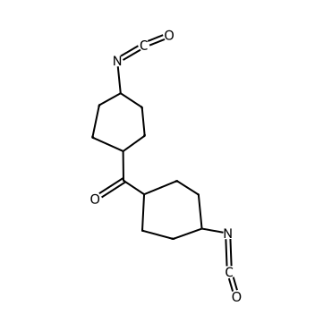 O=C=NC1CCC(C(=O)C2CCC(N=C=O)CC2)CC1